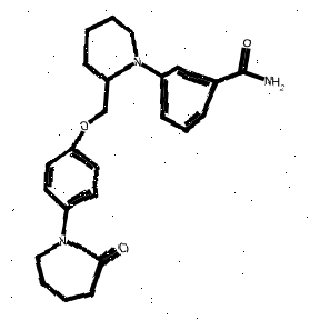 NC(=O)c1cccc(N2CCCCC2COc2ccc(N3CCCCC3=O)cc2)c1